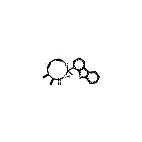 C=C1/C=C\C=C/OC(C)(c2cccc3c2sc2ccccc23)NNC1=C